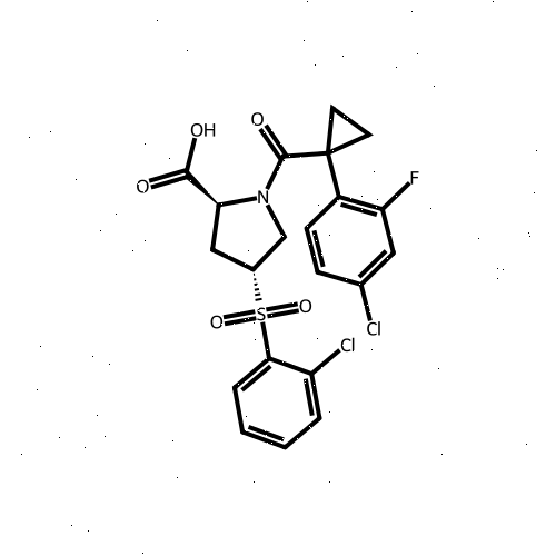 O=C(O)[C@@H]1C[C@@H](S(=O)(=O)c2ccccc2Cl)CN1C(=O)C1(c2ccc(Cl)cc2F)CC1